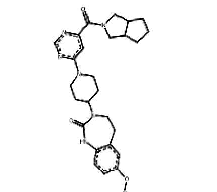 COc1ccc2c(c1)CCN(C1CCN(c3cc(C(=O)N4CC5CCCC5C4)ncn3)CC1)C(=O)N2